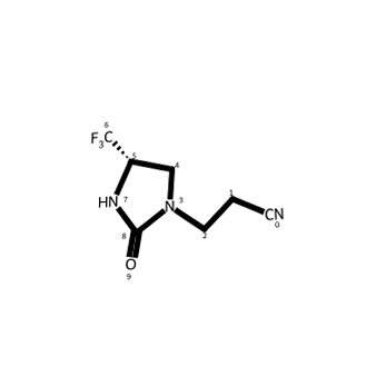 N#CCCN1C[C@@H](C(F)(F)F)NC1=O